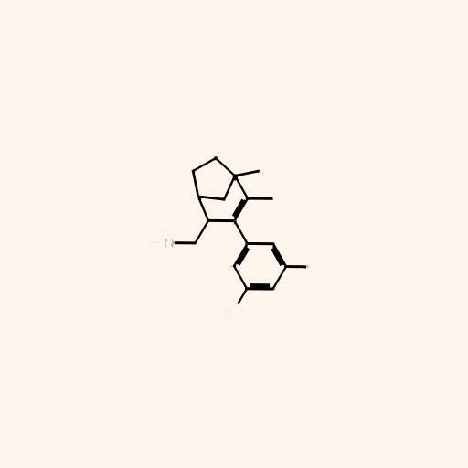 CC1=C(c2cc(O)cc(Cl)c2)C(CN)C2CCC1(C)C2